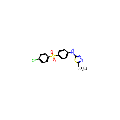 CCOC(=O)c1nnc(Nc2ccc(S(=O)(=O)c3ccc(Cl)cc3)cc2)s1